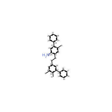 Cc1cc(CCc2cc(C)c(C)c(-c3ccccc3)c2)c(N)cc1-c1ccccc1